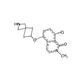 Cn1ccc2c(OC3CC4(CNC4)C3)ccc(Cl)c2c1=O